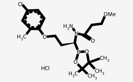 COCCC(=O)N(N)[C@H](CCOc1ccc(Cl)cc1C)B1OC(C)(C)C(C)(C)O1.Cl